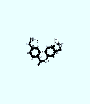 CC(Oc1ccc2[nH]ncc2c1)c1ccc(CN)cc1